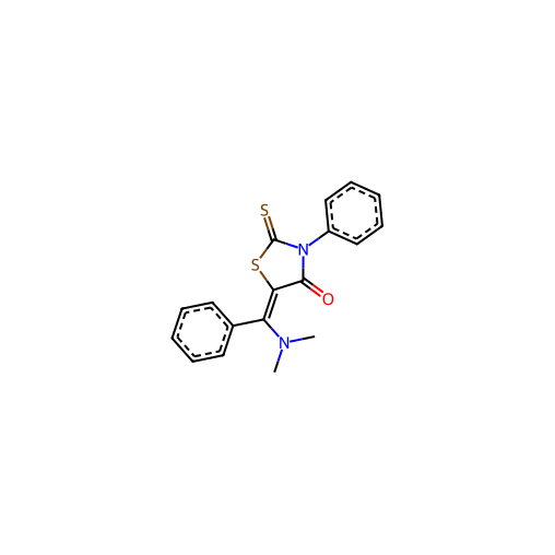 CN(C)C(=C1SC(=S)N(c2ccccc2)C1=O)c1ccccc1